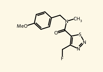 COc1ccc(CN(C)C(=O)c2snnc2CF)cc1